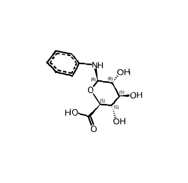 O=C(O)[C@H]1O[C@@H](Nc2ccccc2)[C@H](O)[C@@H](O)[C@@H]1O